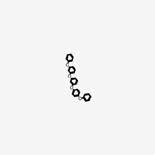 c1ccc(Oc2ccc(Oc3cccc(Oc4cccc(Oc5ccccc5)c4)c3)cc2)cc1